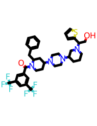 O=C(c1cc(C(F)(F)F)cc(C(F)(F)F)c1)N1CCC(N2CCN(C3CCCN(C(CO)c4cccs4)C3)CC2)CC1Cc1ccccc1